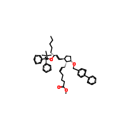 CCCCC[C@H](/C=C/[C@H]1CC[C@H](OCc2ccc(-c3ccccc3)cc2)[C@@H]1C/C=C\CCCC(=O)OC)O[Si](c1ccccc1)(c1ccccc1)C(C)(C)C